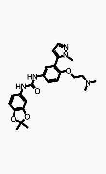 CN(C)CCOc1ccc(NC(=O)Nc2ccc3c(c2)OC(C)(C)O3)cc1-c1ccnn1C